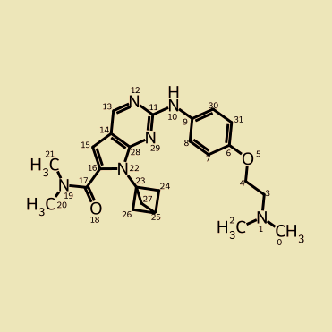 CN(C)CCOc1ccc(Nc2ncc3cc(C(=O)N(C)C)n(C45CC(C4)C5)c3n2)cc1